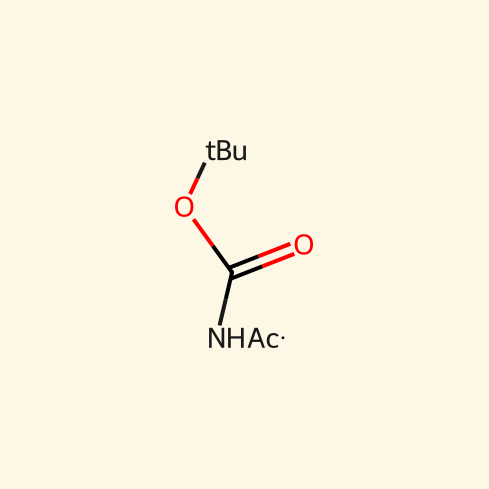 CC(=O)[N]C(=O)OC(C)(C)C